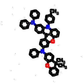 Cc1ccc(N2c3cc(N(c4ccccc4)c4ccccc4)ccc3B3c4ccc(N(c5ccccc5)c5ccc6c(c5)Oc5ccccc5C6(C)C)cc4Oc4cccc2c43)cc1